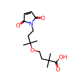 CC(C)(CCN1C(=O)C=CC1=O)OCCC(C)(C)C(=O)O